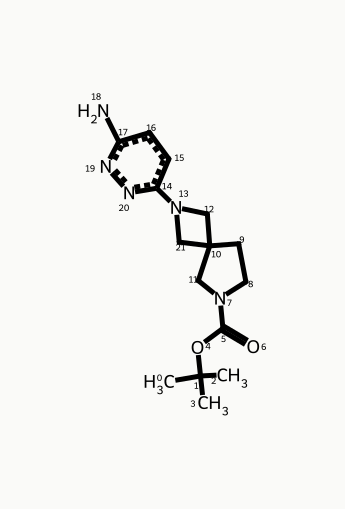 CC(C)(C)OC(=O)N1CCC2(C1)CN(c1ccc(N)nn1)C2